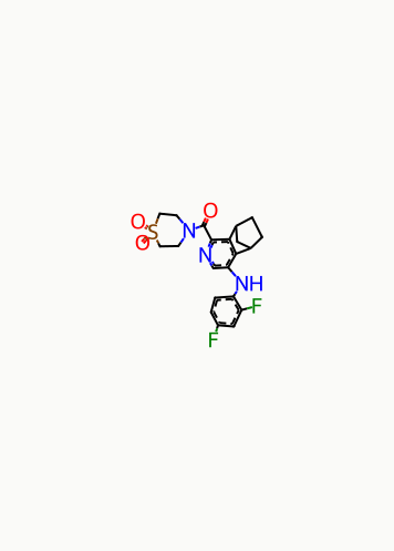 O=C(c1ncc(Nc2ccc(F)cc2F)c2c1C1CCC2C1)N1CCS(=O)(=O)CC1